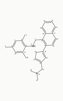 Cc1cc(C)c(NCc2c(C3=CC(CN(C)C)=CC3)ccc3ccccc23)c(C)c1